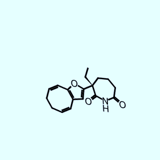 CC[C@@]1(c2cc3c(o2)/C=C\CC/C=C\3)CCCC(=O)NC1=O